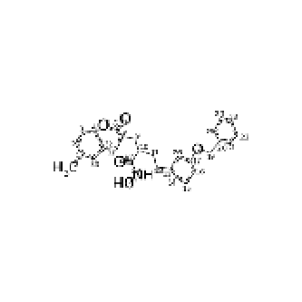 Cc1ccc2oc(=O)c(CC(CCc3cccc(OCc4ccccc4)c3)C(=O)NO)cc2c1